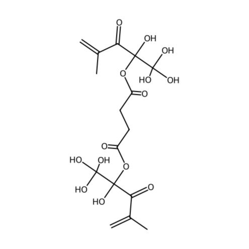 C=C(C)C(=O)C(O)(OC(=O)CCC(=O)OC(O)(C(=O)C(=C)C)C(O)(O)O)C(O)(O)O